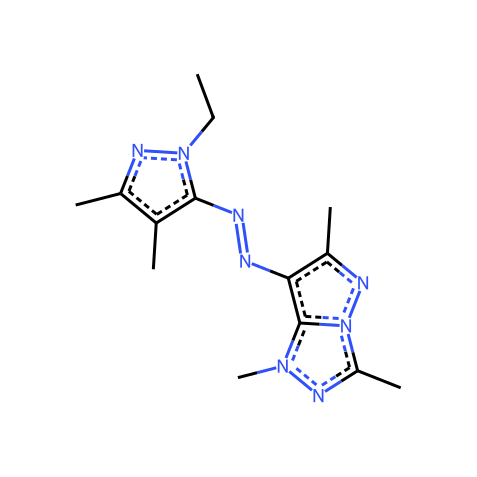 CCn1nc(C)c(C)c1/N=N/c1c(C)nn2c(C)nn(C)c12